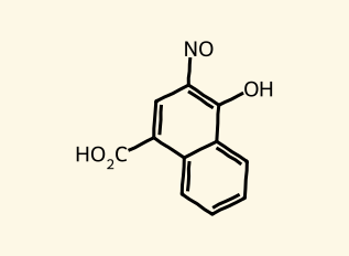 O=Nc1cc(C(=O)O)c2ccccc2c1O